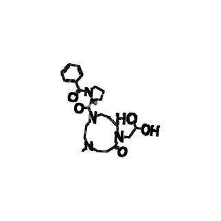 CN1CCC(=O)N(CC(O)O)CCCN(C(=O)[C@H]2CCCN2C(=O)c2ccccc2)CC1